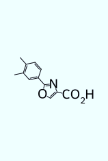 Cc1ccc(-c2nc(C(=O)O)co2)cc1C